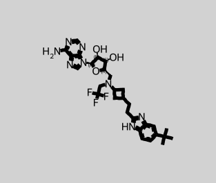 CC(C)(C)c1ccc2[nH]c(CCC3CC(N(C[C@H]4O[C@@H](n5cnc6c(N)ncnc65)[C@H](O)[C@@H]4O)CC(F)(F)F)C3)nc2c1